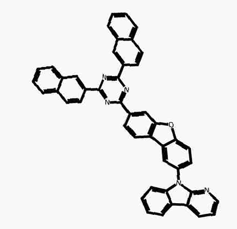 c1ccc2cc(-c3nc(-c4ccc5ccccc5c4)nc(-c4ccc5c(c4)oc4ccc(-n6c7ccccc7c7cccnc76)cc45)n3)ccc2c1